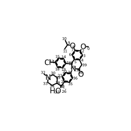 COc1cc2c(cc1OC(C)C)[C@H](c1ccc(Cl)cc1)N(c1ccc([C@@](C)(O)C3CCN(C)CC3)cc1)C(=O)C2